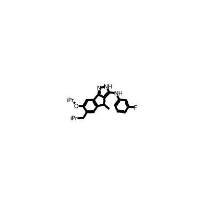 CC(C)Cc1cc2c(cc1OC(C)C)-c1n[nH]c(Nc3cccc(F)c3)c1C2C